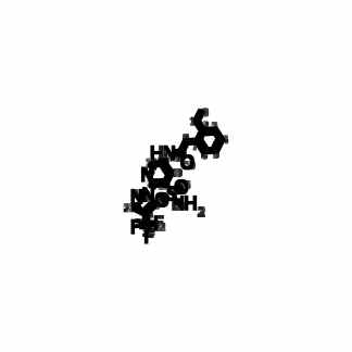 CCc1ccccc1CC(=O)Nc1cnc(-n2cc(C(F)(F)F)cn2)c(S(N)(=O)=O)c1